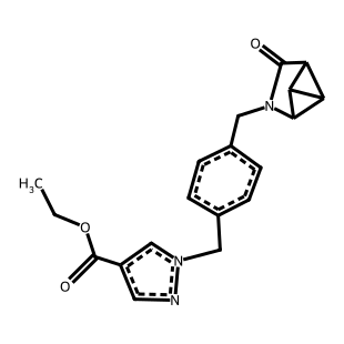 CCOC(=O)c1cnn(Cc2ccc(CN3C(=O)C4C5C4C53)cc2)c1